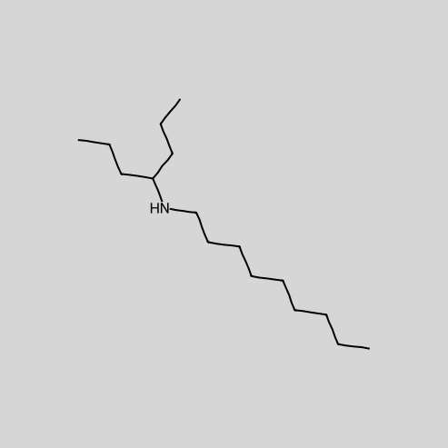 CCCCCCCCCNC(CCC)CCC